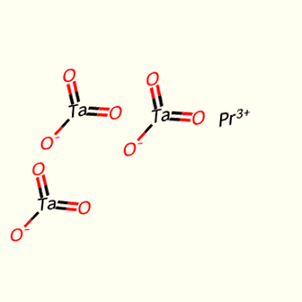 [O]=[Ta](=[O])[O-].[O]=[Ta](=[O])[O-].[O]=[Ta](=[O])[O-].[Pr+3]